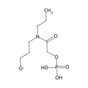 CCCN(CCC[O])C(=O)COP(=O)(O)O